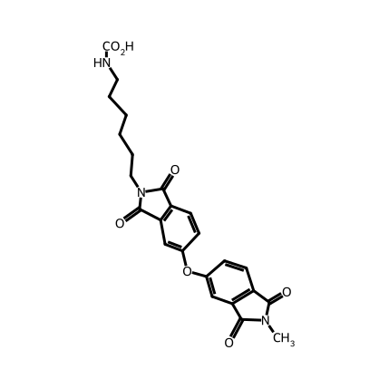 CN1C(=O)c2ccc(Oc3ccc4c(c3)C(=O)N(CCCCCCNC(=O)O)C4=O)cc2C1=O